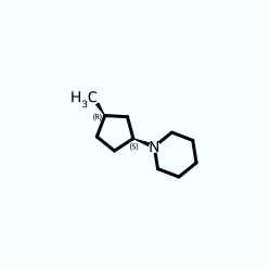 C[C@@H]1CC[C@H](N2CCCCC2)C1